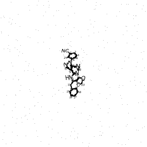 N#Cc1cccc(-n2ncc3c(NC(Cc4ccccc4)C4=COCO4)ncnc32)c1